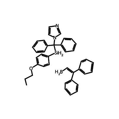 BC=C(c1ccccc1)c1ccccc1.CCCOc1ccc([SiH2]C(c2ccccc2)(c2ccccc2)n2ccnc2)cc1